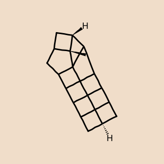 C[C@@]12C3CC4C5C6C7C[C@@H]8CC9C%10C%11C([C@H]1C3)C42C5%11C6%10C798